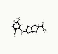 O=C(O)N1CC2CC(Nc3nc(Cl)ncc3Cl)CC2C1